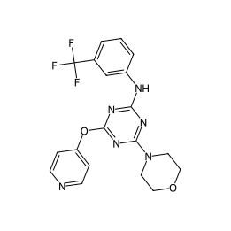 FC(F)(F)c1cccc(Nc2nc(Oc3ccncc3)nc(N3CCOCC3)n2)c1